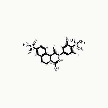 C[Si](C)(C)c1c(F)cc(NC(=O)C2c3ccc(S(C)(=O)=O)cc3CCN2C(=O)O)cc1F